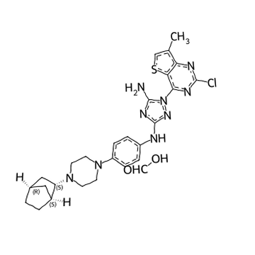 Cc1csc2c(-n3nc(Nc4ccc(N5CCN([C@H]6C[C@@H]7CC[C@H]6C7)CC5)cc4)nc3N)nc(Cl)nc12.O=CO